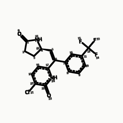 O=C1CC[C@H](C=C(c2cccc(C(F)(F)F)c2)c2ccc(Cl)c(=O)[nH]2)N1